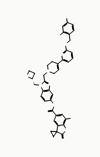 Cc1cc(C(=O)Nc2ccc3c(c2)nc(CN2CC=C(c4cccc(OCc5ccc(Cl)cc5F)n4)CC2)n3C[C@@H]2CCO2)cc2c1NC(=O)C21CC1